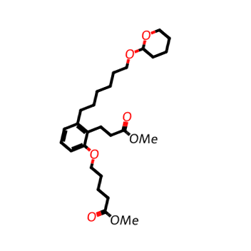 COC(=O)CCCCOc1cccc(CCCCCCOC2CCCCO2)c1CCC(=O)OC